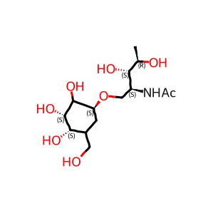 CC(=O)N[C@@H](CO[C@H]1CC(CO)[C@H](O)[C@H](O)C1O)[C@H](O)[C@@H](C)O